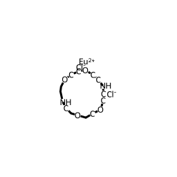 C1COCCOCCNCCOCCOCCN1.[Cl-].[Cl-].[Eu+2]